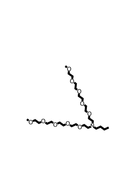 CCCCN(CCOCCOCCOCCOCCOC)CCOCCOCCOCCOCCOC